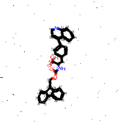 O=C(NC(Cc1ccc(-c2ccnc3ccccc23)cc1)C(=O)O)OCC1c2ccccc2-c2ccccc21